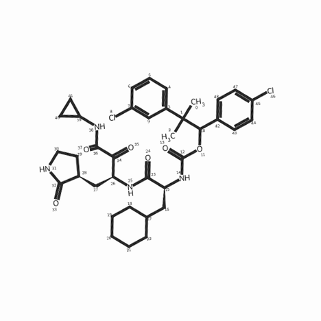 CC(C)(c1cccc(Cl)c1)C(OC(=O)N[C@@H](CC1CCCCC1)C(=O)N[C@@H](C[C@@H]1CCNC1=O)C(=O)C(=O)NC1CC1)c1ccc(Cl)cc1